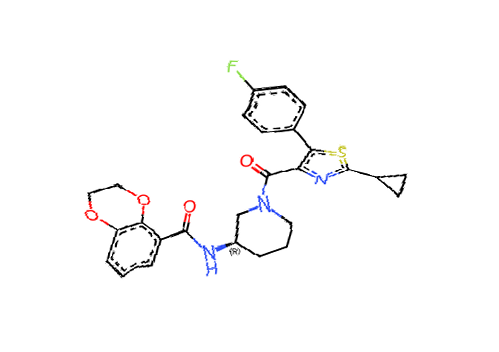 O=C(N[C@@H]1CCCN(C(=O)c2nc(C3CC3)sc2-c2ccc(F)cc2)C1)c1cccc2c1OCCO2